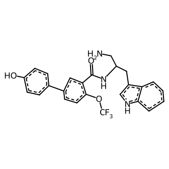 NCC(Cc1c[nH]c2ccccc12)NC(=O)c1cc(-c2ccc(O)cc2)ccc1OC(F)(F)F